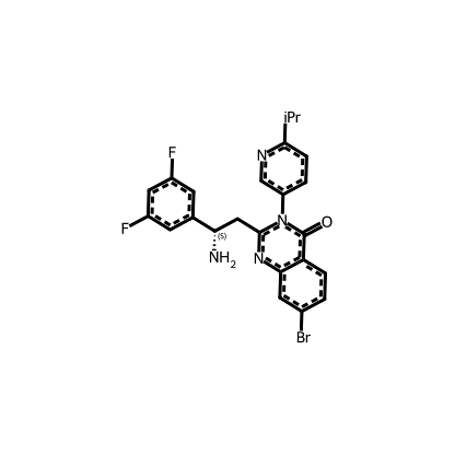 CC(C)c1ccc(-n2c(C[C@H](N)c3cc(F)cc(F)c3)nc3cc(Br)ccc3c2=O)cn1